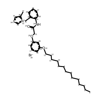 CCCCCCCCCCCCCCOc1cccc(OCC(=O)Nc2ccccc2C[n+]2cscc2C)c1.[Br-]